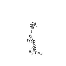 C=C(COC)C(=O)Oc1ccc(C(=O)Oc2ccc(OCCCCCCOC(=O)C(C)F)cc2CC)cc1